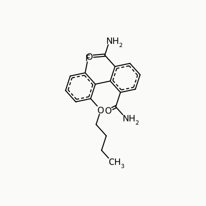 CCCCOc1cccc(F)c1-c1c(C(N)=O)cccc1C(N)=O